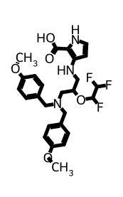 COc1ccc(CN(Cc2ccc(OC)cc2)CC(CNc2cc[nH]c2C(=O)O)OC(F)C(F)F)cc1